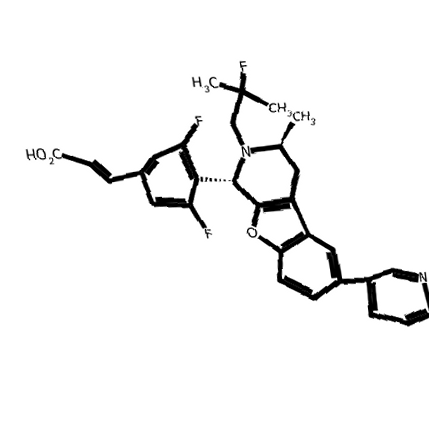 C[C@H]1Cc2c(oc3ccc(-c4cccnc4)cc23)[C@H](c2c(F)cc(/C=C/C(=O)O)cc2F)N1CC(C)(C)F